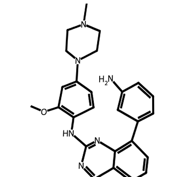 COc1cc(N2CCN(C)CC2)ccc1Nc1ncc2cccc(-c3cccc(N)c3)c2n1